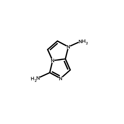 Nc1ncc2n(N)ccn12